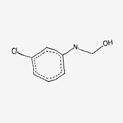 OC[N]c1cccc(Cl)c1